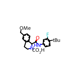 COCc1ccc2c(c1)CCN(C(=O)O)C2C(=O)Nc1ccc(C(C)(C)C)c(F)c1